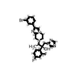 C[C@@H](N1CCn2cc(-c3cccc(Br)c3)nc2C1)[C@](O)(Cn1cncn1)c1ccc(F)cc1F